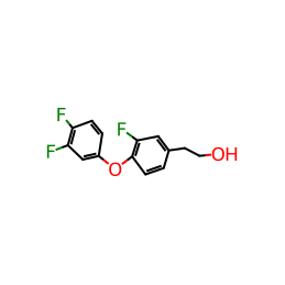 OCCc1ccc(Oc2ccc(F)c(F)c2)c(F)c1